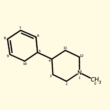 CN1CCC(C2C=CC=CC2)CC1